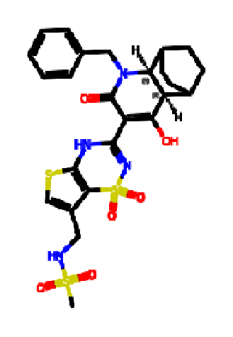 CS(=O)(=O)NCc1csc2c1S(=O)(=O)N=C(C1=C(O)[C@@H]3C4CCC(CC4)[C@@H]3N(Cc3ccccc3)C1=O)N2